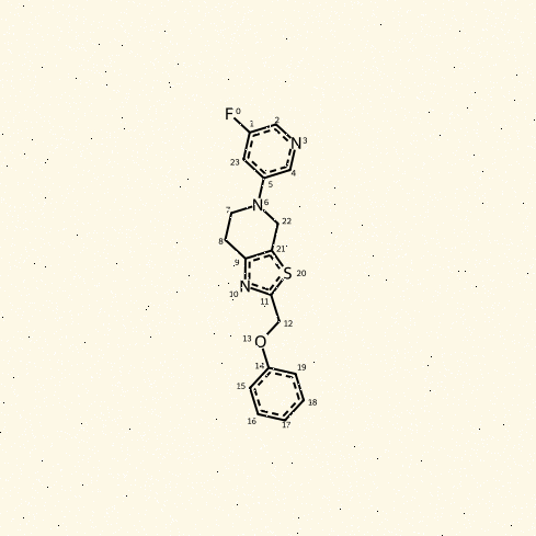 Fc1cncc(N2CCc3nc(COc4ccccc4)sc3C2)c1